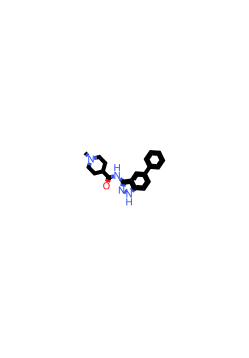 CN1CCC(C(=O)Nc2n[nH]c3ccc(-c4ccccc4)cc23)CC1